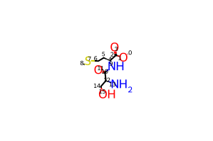 COC(=O)[C@H](CCSC)NC(=O)[C@@H](N)CO